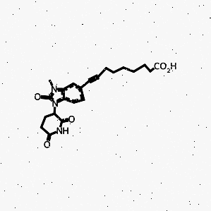 Cn1c(=O)n(C2CCC(=O)NC2=O)c2ccc(C#CCCCCCCC(=O)O)cc21